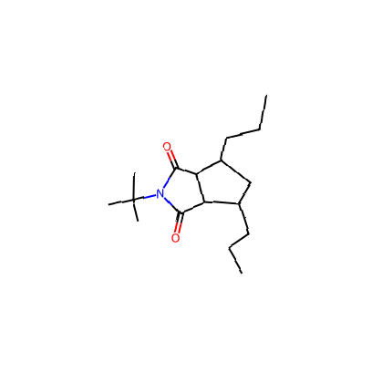 CCCC1CC(CCC)C2C(=O)N(C(C)(C)C)C(=O)C12